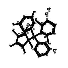 CC1=C(C)C(C)([Si](c2ccccc2)(c2cc(C)cc(C)c2)c2c(C)cccc2C)[C]([Ti+3])=C1C.[Cl-].[Cl-].[Cl-]